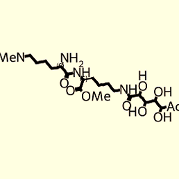 CNCCCC[C@H](N)C(=O)N[C@@H](CCCCNC(=O)C(O)C(O)C(O)C(O)C(C)=O)C(=O)OC